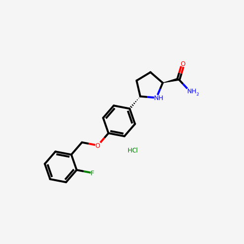 Cl.NC(=O)[C@@H]1CC[C@@H](c2ccc(OCc3ccccc3F)cc2)N1